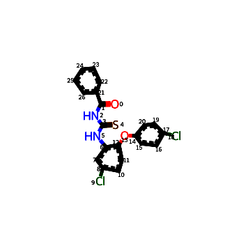 O=C(NC(=S)Nc1cc(Cl)ccc1Oc1ccc(Cl)cc1)c1ccccc1